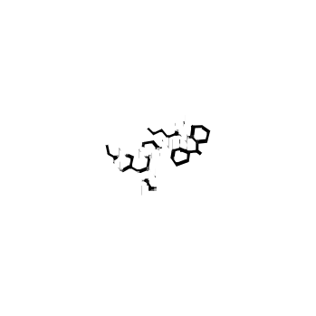 C=C(c1ccccc1)c1cccc(F)c1NC(=O)C(CCC)NC1=CCN=C(c2nc(C(F)(F)F)sc2-c2cnc(CC)nc2)O1